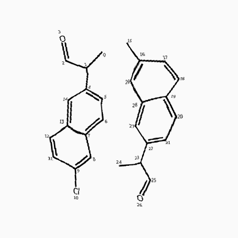 CC(C=O)c1ccc2cc(Cl)ccc2c1.Cc1ccc2ccc(C(C)C=O)cc2c1